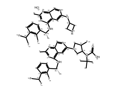 Cc1nc(N[C@H](C)c2cccc(C(F)F)c2F)c2cc(N3CC(F)C(N(C(=O)O)C(C)(C)C)C3)ncc2n1.Cc1nc(N[C@H](C)c2cccc(C(F)F)c2F)c2cc(OC3CNC3)ncc2n1.Cl